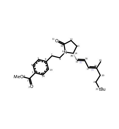 COC(=O)c1ccc(CCN2C(=O)CC[C@@H]2/C=C/C=C(\C)CCC(C)(C)C)cc1